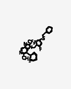 Cc1ncc2nc(C(F)(F)F)n(Cc3ncc(SCc4ccccc4)cc3F)c2c1-c1ccccc1